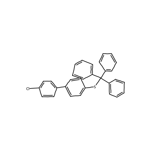 Clc1ccc(-c2ccc(SC(c3ccccc3)(c3ccccc3)c3ccccc3)cc2)cc1